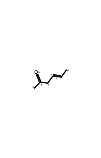 [CH2]/C=C/CC(C)=O